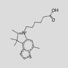 CC1=[N+](CCCCCC(=O)O)c2cc(C)c3sccc3c2C1(C)C